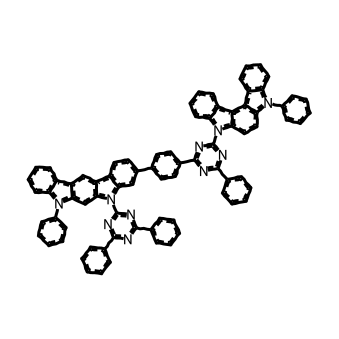 c1ccc(-c2nc(-c3ccccc3)nc(-n3c4cc(-c5ccc(-c6nc(-c7ccccc7)nc(-n7c8ccccc8c8c9c%10ccccc%10n(-c%10ccccc%10)c9ccc87)n6)cc5)ccc4c4cc5c6ccccc6n(-c6ccccc6)c5cc43)n2)cc1